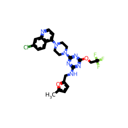 Cc1ccc(CNc2nc(OCC(F)(F)F)nc(N3CCN(c4ccnc5cc(Cl)ccc45)CC3)n2)o1